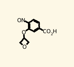 O=Nc1ccc(C(=O)O)cc1OC1COC1